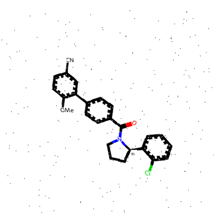 COc1ccc(C#N)cc1-c1ccc(C(=O)N2CCC[C@@H]2c2ccccc2Cl)cc1